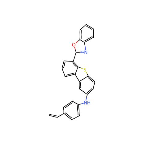 C=Cc1ccc(Nc2ccc3sc4c(-c5nc6ccccc6o5)cccc4c3c2)cc1